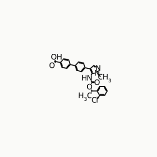 C[C@@H](OC(=O)Nc1c(-c2ccc(-c3ccc(C(=O)O)cc3)cc2)cnn1C)c1ccccc1Cl